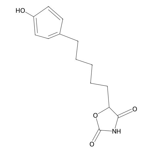 O=C1NC(=O)C(CCCCCc2ccc(O)cc2)O1